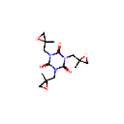 CC1(Cn2c(=O)n(CC3(C)CO3)c(=O)n(CC3(C)CO3)c2=O)CO1